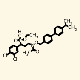 CCOP(C)(=O)C(CCN(OCc1ccc(-c2ccc(C(C)C)cc2)cc1)C(C)=O)c1ccc(Cl)c(Cl)c1